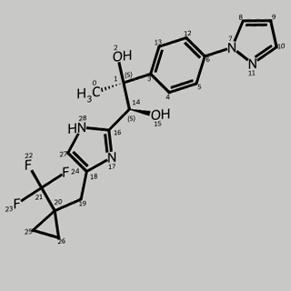 C[C@](O)(c1ccc(-n2cccn2)cc1)[C@@H](O)c1nc(CC2(C(F)(F)F)CC2)c[nH]1